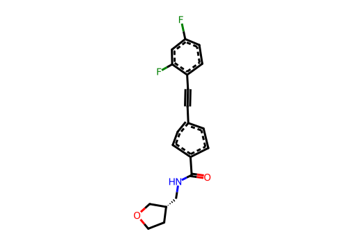 O=C(NC[C@@H]1CCOC1)c1ccc(C#Cc2ccc(F)cc2F)cc1